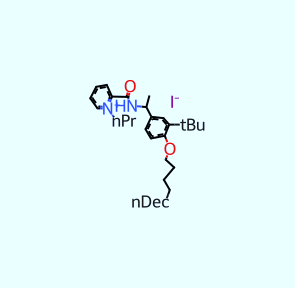 CCCCCCCCCCCCCCOc1ccc(C(C)NC(=O)c2cccc[n+]2CCC)cc1C(C)(C)C.[I-]